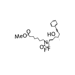 COC(=O)CCCCCCN1C(=O)C(F)(F)C[C@@H]1C=C[C@H](O)[C@@H](C)CC#Cc1ccccc1